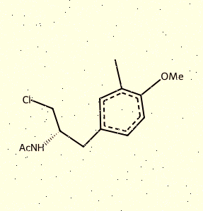 COc1ccc(C[C@@H](CCl)NC(C)=O)cc1C